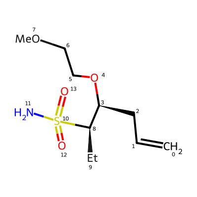 C=CC[C@H](OCCOC)[C@@H](CC)S(N)(=O)=O